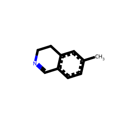 Cc1ccc2c(c1)CCN=C2